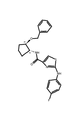 O=C(N[C@@H]1CCC[C@H]1OCc1ccccc1)c1csc(Nc2ccc(F)cc2)n1